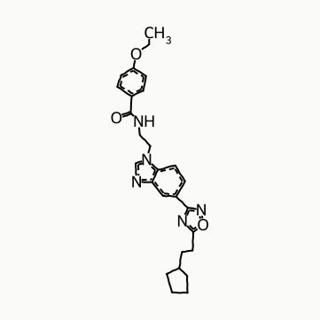 CCOc1ccc(C(=O)NCCn2cnc3cc(-c4noc(CCC5CCCC5)n4)ccc32)cc1